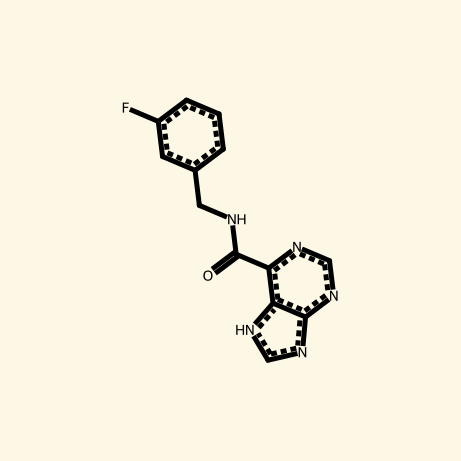 O=C(NCc1cccc(F)c1)c1ncnc2nc[nH]c12